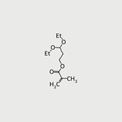 C=C(C)C(=O)OCCC(OCC)OCC